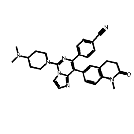 CN1C(=O)CCc2cc(-c3c(-c4ccc(C#N)cc4)nc(N4CCC(N(C)C)CC4)n4ccnc34)ccc21